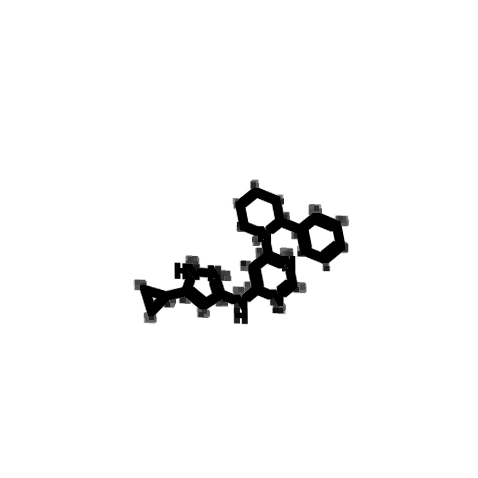 c1ccc(C2CCCCN2c2cc(Nc3cc(C4CC4)[nH]n3)ncn2)cc1